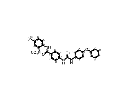 O=C(Nc1ccc(Oc2ccccc2)cc1)Nc1ccc(C(=O)Nc2ccc(Br)cc2C(=O)O)cc1